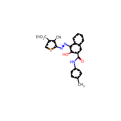 CCOC(=O)c1csc(/N=N/c2c(O)c(C(=O)Nc3ccc(C)cc3)cc3ccccc23)c1C#N